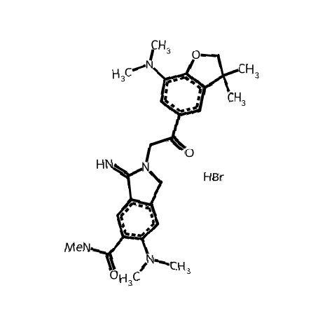 Br.CNC(=O)c1cc2c(cc1N(C)C)CN(CC(=O)c1cc(N(C)C)c3c(c1)C(C)(C)CO3)C2=N